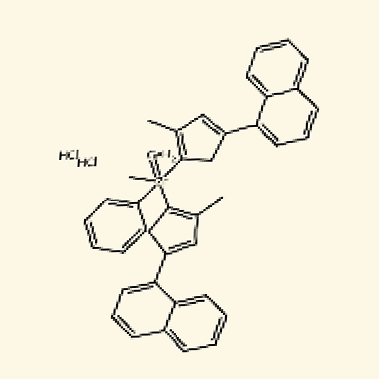 CC1=[C]([Zr]([CH3])(=[GeH2])([C]2=C(C)C=C(c3cccc4ccccc34)C2)[c]2ccccc2)CC(c2cccc3ccccc23)=C1.Cl.Cl